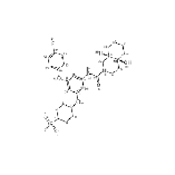 CS(=O)(=O)C1CCC(Oc2cc(NC(=O)N3CC[C@@]4(O)CCCC[C@H]4C3)cc(Oc3ccc(F)cc3)c2)CC1